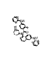 O=C(c1ccc(Nc2ncccn2)cc1F)N(c1nccc2cc(Nc3ncccn3)ccc12)[C@@H]1CCCNC1